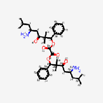 CC(C)CC(N)CC(=O)C(C)(C)C(OC(=O)C(=O)OC(c1ccccc1)C(C)(C)C(=O)CC(N)CC(C)C)c1ccccc1